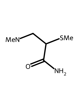 CNCC(SC)C(N)=O